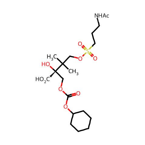 CC(=O)NCCCS(=O)(=O)OCC(C)(C)[C@@](O)(COC(=O)OC1CCCCC1)C(=O)O